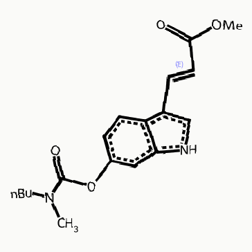 CCCCN(C)C(=O)Oc1ccc2c(/C=C/C(=O)OC)c[nH]c2c1